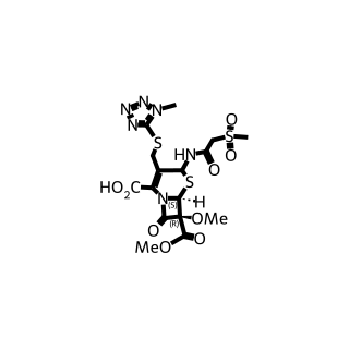 COC(=O)[C@]1(OC)C(=O)N2C(C(=O)O)=C(CSc3nnnn3C)C(NC(=O)CS(C)(=O)=O)S[C@H]21